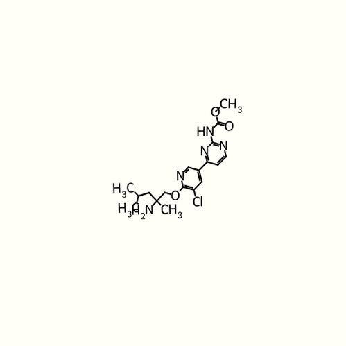 COC(=O)Nc1nccc(-c2cnc(OCC(C)(N)CC(C)C)c(Cl)c2)n1